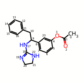 CC(=O)Oc1cccc(C(Cc2ccccc2)NC2=NCCN2)c1